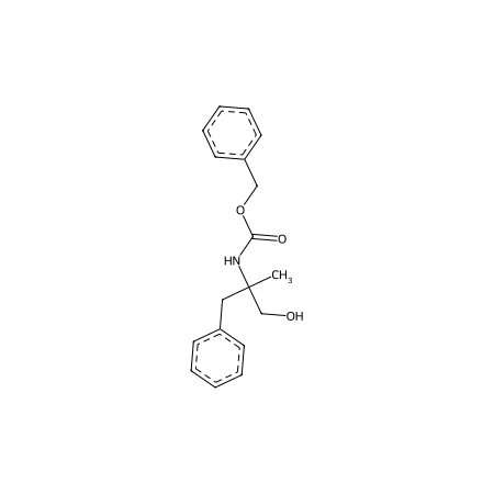 CC(CO)(Cc1ccccc1)NC(=O)OCc1ccccc1